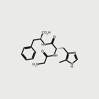 Cc1[nH]cnc1C[C@H](NC(=O)CN)C(=O)N[C@@H](Cc1ccccc1)C(=O)O